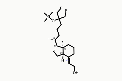 C[C@H](CCCC(CF)(CF)O[Si](C)(C)C)[C@H]1CC[C@H]2/C(=C/CO)CCC[C@]12C